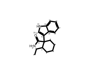 CCC1CCCCC1(C(N)=O)c1c[nH]c2ccccc12